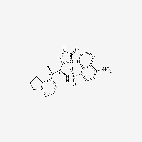 C[C@H](c1cccc2c1CCC2)[C@H](NS(=O)(=O)c1ccc([N+](=O)[O-])c2cccnc12)c1n[nH]c(=O)o1